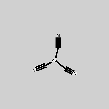 N#[C][Al]([C]#N)[C]#N